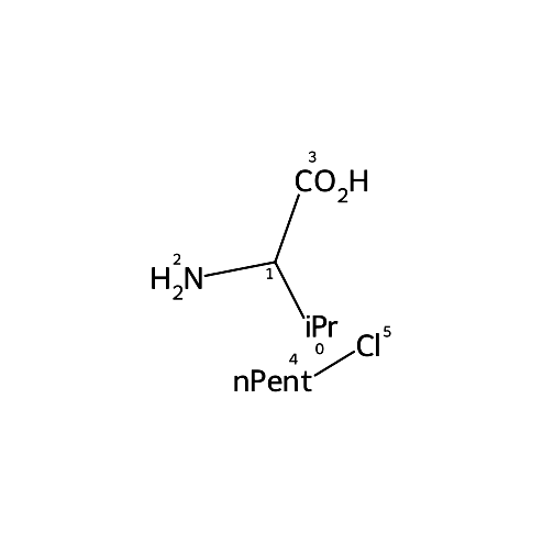 CC(C)C(N)C(=O)O.CCCCCCl